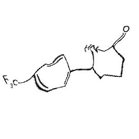 O=C1CCCC(c2ccc(C(F)(F)F)cc2)N1